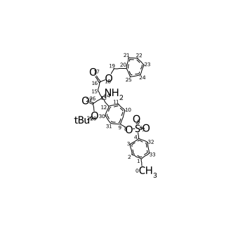 Cc1ccc(S(=O)(=O)Oc2ccc(C(N)(CC(=O)OCc3ccccc3)C(=O)OC(C)(C)C)cc2)cc1